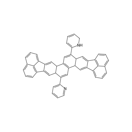 C1=CCNC(C2=CC3=C(C=C(c4ccccn4)C4C=C5C(=CC34)c3cccc4cccc5c34)C3C=C4C(=CC23)c2cccc3cccc4c23)=C1